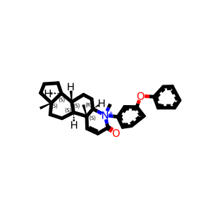 C[C@@]12CCC[C@H]1[C@@H]1CC[C@@H]3[C@](C)(C=CC(=O)[N+]3(C)c3cccc(Oc4ccccc4)c3)[C@H]1CC2